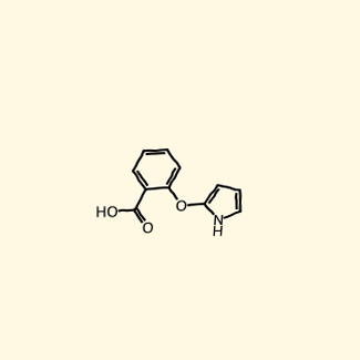 O=C(O)c1ccccc1Oc1ccc[nH]1